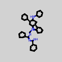 N=C(/N=C(\N=C\n1c2ccccc2c2cc(Nc3ccccc3)c(-c3ccccc3)cc21)c1ccccc1)c1ccccc1